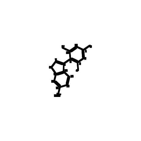 Cc1cc(C)c(C2=CCc3cc(Br)ccc32)c(C)c1